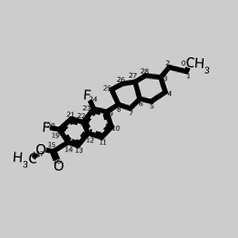 CCCC1CCC2CC(c3ccc4cc(C(=O)OC)c(F)cc4c3F)CCC2C1